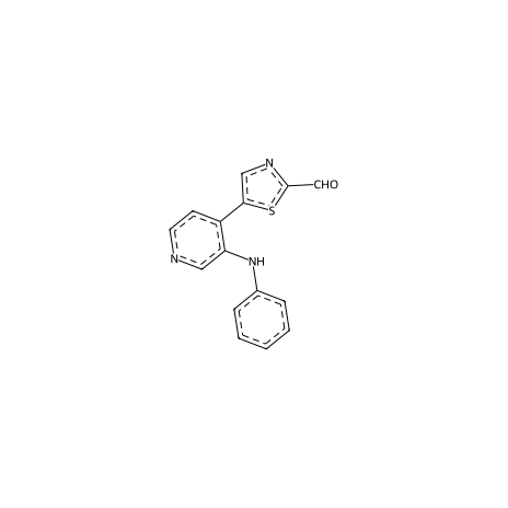 O=Cc1ncc(-c2ccncc2Nc2ccccc2)s1